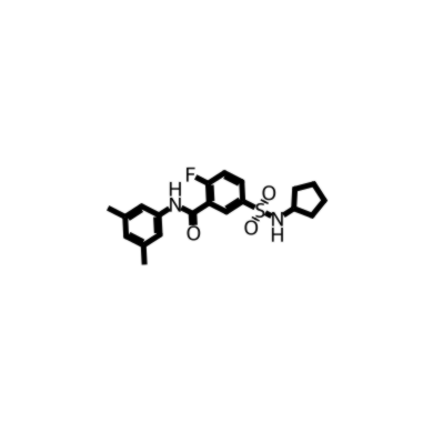 Cc1cc(C)cc(NC(=O)c2cc(S(=O)(=O)NC3CCCC3)ccc2F)c1